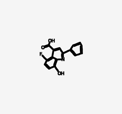 O=C(O)c1cc(-c2ccccc2)nc2c(O)ccc(F)c12